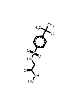 CCC(C)(C)c1ccc(S(=O)(=O)NCC(=O)NO)cc1